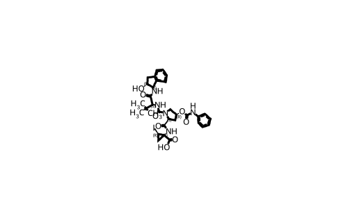 CC(C)(C)[C@H](NC(=O)N1C[C@H](OC(=O)Nc2ccccc2)C[C@H]1C(=O)N[C@]1(C(=O)O)C[C@H]1I)C(=O)N[C@H]1c2ccccc2C[C@H]1O